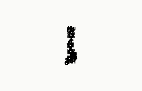 CC(C)(C)OC(=O)N1CCC(CCN2CCC(c3ccc4c(c3)oc(=O)n4C3CCC(=O)NC3=O)CC2)CC1